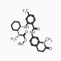 CN1C(=O)CCc2ccc(NC(=O)c3ccc(C(F)(F)F)cc3N[C@H]3CCCC[C@@H]3N(C)C(=O)OC(C)(C)C)cc21